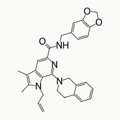 C=CCn1c(C)c(C)c2cc(C(=O)NCc3ccc4c(c3)OCO4)nc(N3CCc4ccccc4C3)c21